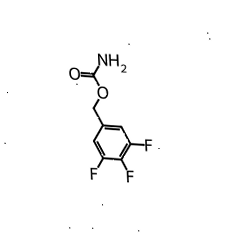 NC(=O)OCc1cc(F)c(F)c(F)c1